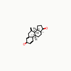 C=C1CC2=CC(=O)C=C[C@]2(C)[C@H]2CC[C@]3(C)C(=O)CC[C@H]3[C@H]12